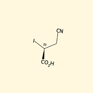 N#CC[C@H](I)C(=O)O